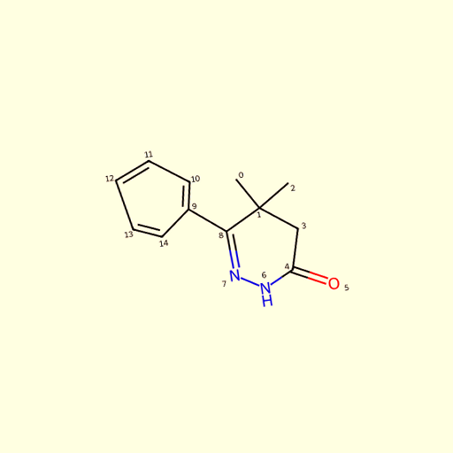 CC1(C)CC(=O)NN=C1c1ccccc1